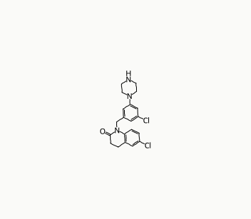 O=C1CCc2cc(Cl)ccc2N1Cc1cc(Cl)cc(N2CCNCC2)c1